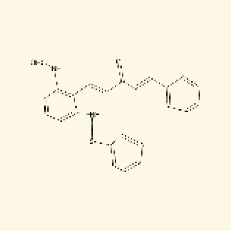 C/C(=C\c1c(NC=O)cccc1NSc1cccnc1)C(=O)/C=C/c1ccccc1